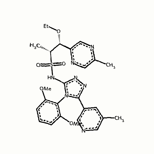 CCO[C@H](c1cnc(C)cn1)[C@@H](C)S(=O)(=O)Nc1nnc(-c2cncc(C)c2)n1-c1c(OC)cccc1OC